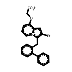 CCc1cc2c(OCC(=O)O)cccn2c1Cc1ccccc1-c1ccccc1